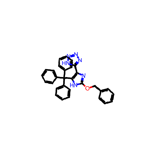 c1ccc(COc2nc(-c3nnn[nH]3)c(C(c3ccccc3)(c3ccccc3)c3ccccc3)[nH]2)cc1